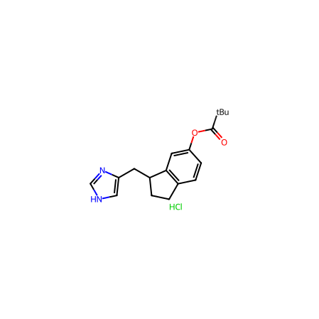 CC(C)(C)C(=O)Oc1ccc2c(c1)C(Cc1c[nH]cn1)CC2.Cl